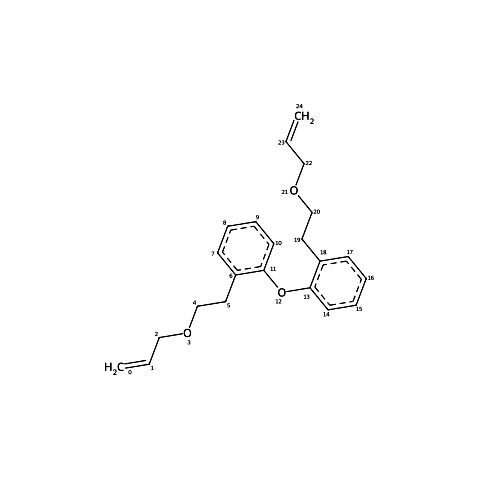 C=CCOCCc1ccccc1Oc1ccccc1CCOCC=C